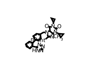 CCCCCC1=NC2(C)C(C(=O)N(C3CC3)C(=O)N2C2CC2)N1Cc1ccc(-c2ccccc2-c2nnn[nH]2)cc1